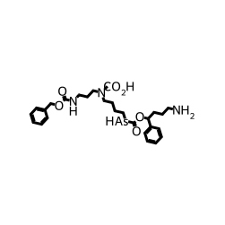 NCCCC(OC(=O)[AsH]CCCCN(CCCNC(=O)OCc1ccccc1)C(=O)O)c1ccccc1